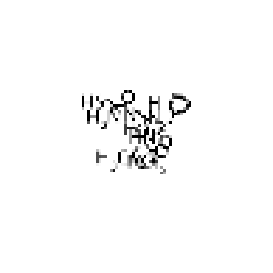 CC(C)C[C@H](NC(=O)[C@H](Cc1ccccc1)NC(=O)CNC(=O)[C@@H](N)CS)C(=O)O